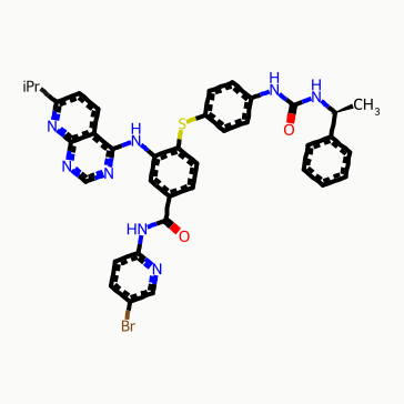 CC(C)c1ccc2c(Nc3cc(C(=O)Nc4ccc(Br)cn4)ccc3Sc3ccc(NC(=O)N[C@@H](C)c4ccccc4)cc3)ncnc2n1